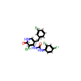 O=C(Nc1ccc(F)cc1F)Nc1c(Cc2cccc(F)c2)c[nH]c(=O)c1Br